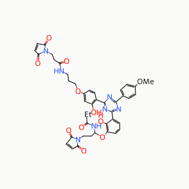 CCC(=O)NC(CCN1C(=O)C=CC1=O)Oc1cccc(-c2nc(-c3ccc(OC)cc3)nc(-c3ccc(OCCCNC(=O)CCN4C(=O)C=CC4=O)cc3O)n2)c1O